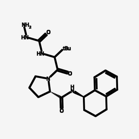 CC(C)(C)C(NC(=O)NN)C(=O)N1CCC[C@H]1C(=O)N[C@@H]1CCCc2ccccc21